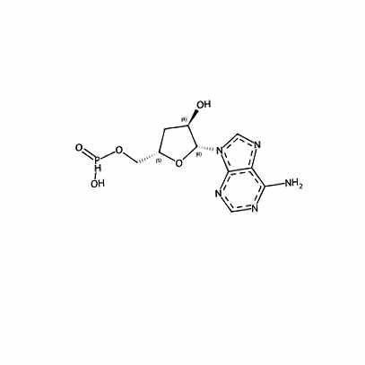 Nc1ncnc2c1ncn2[C@@H]1O[C@H](CO[PH](=O)O)C[C@H]1O